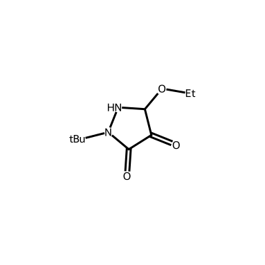 CCOC1NN(C(C)(C)C)C(=O)C1=O